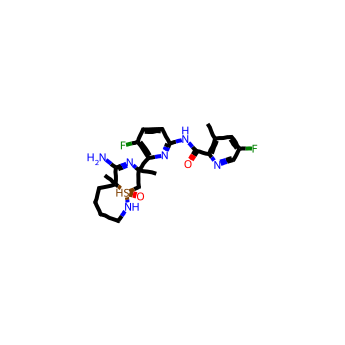 Cc1cc(F)cnc1C(=O)Nc1ccc(F)c(C2(C)C[SH]3(=O)NCCCCC3(C)C(N)=N2)n1